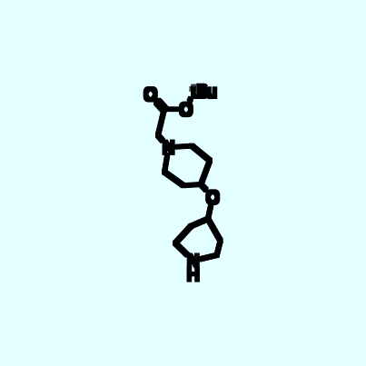 CC(C)(C)OC(=O)CN1CCC(OC2CCNCC2)CC1